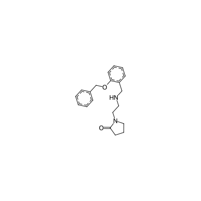 O=C1CCCN1CCNCc1ccccc1OCc1ccccc1